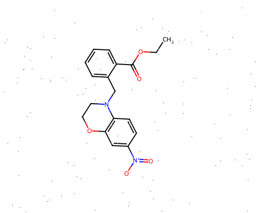 CCOC(=O)c1ccccc1CN1CCOc2cc([N+](=O)[O-])ccc21